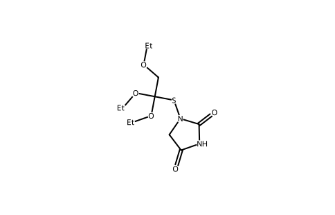 CCOCC(OCC)(OCC)SN1CC(=O)NC1=O